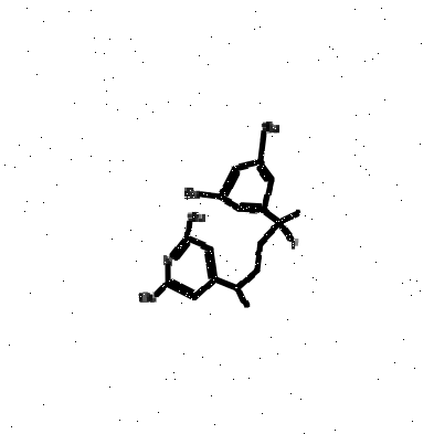 CCC(C)c1cc(C(C)(C)C)cc(C(C)(F)CCC(C)c2cc(C(C)(C)C)nc(C(C)(C)C)c2)c1